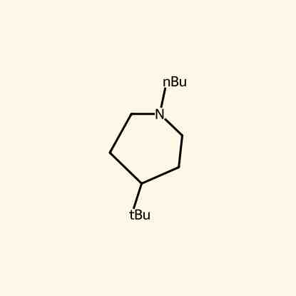 CCCCN1CCC(C(C)(C)C)CC1